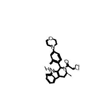 Cc1cc(N2CCOCC2)ccc1C1c2[nH]c3ccccc3c2C[C@H](C)N1C(=O)CCl